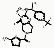 COn1c(NC(C)c2ccc(C(F)(F)F)cc2)nc2c(c1=O)CN(C(=O)c1ccc(C)s1)CC2